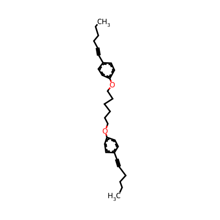 CCCCC#Cc1ccc(OCCCCCCOc2ccc(C#CCCCC)cc2)cc1